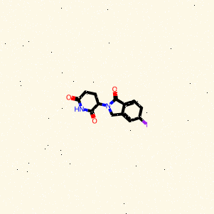 O=C1CCC(N2CC3=CC(I)CC=C3C2=O)C(=O)N1